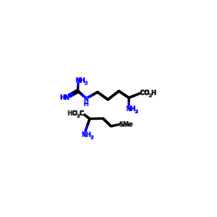 CSCCC(N)C(=O)O.N=C(N)NCCCC(N)C(=O)O